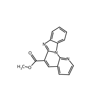 COC(=O)c1cc2cccnc2n2c1nc1ccccc12